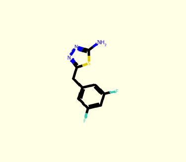 Nc1nnc(Cc2cc(F)cc(F)c2)s1